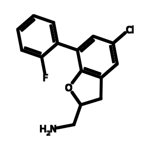 NCC1Cc2cc(Cl)cc(-c3ccccc3F)c2O1